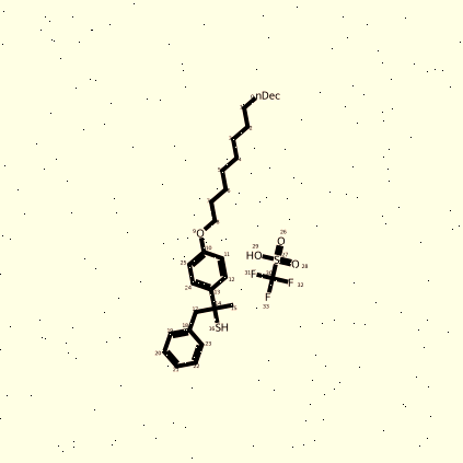 CCCCCCCCCCCCCCCCCCOc1ccc(C(C)(S)Cc2ccccc2)cc1.O=S(=O)(O)C(F)(F)F